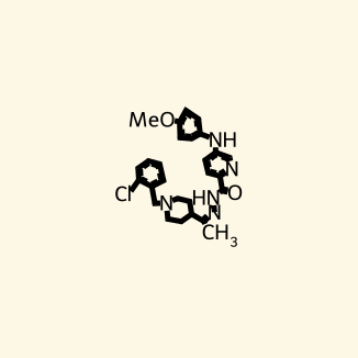 COc1ccc(Nc2ccc(C(=O)NN=C(C)C3CCN(Cc4ccccc4Cl)CC3)nc2)cc1